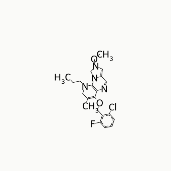 CCCN1CC(C)=C(OCc2c(F)cccc2Cl)C2=C1N1CN(OC)C=C1C=N2